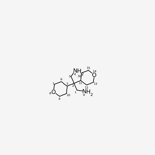 NCC(CN)(C1CCOCC1)C1CCOCC1